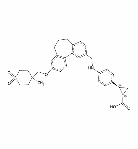 CC1(COc2ccc3c(c2)CCCc2ccc(CNc4ccc([C@H]5C[C@@H]5C(=O)O)cc4)cc2-3)CCS(=O)(=O)CC1